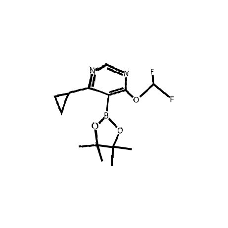 CC1(C)OB(c2c(OC(F)F)ncnc2C2CC2)OC1(C)C